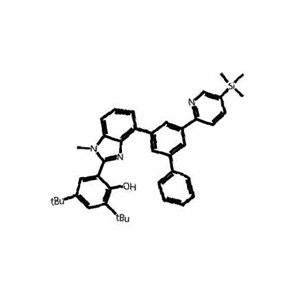 Cn1c(-c2cc(C(C)(C)C)cc(C(C)(C)C)c2O)nc2c(-c3cc(-c4ccccc4)cc(-c4ccc([Si](C)(C)C)cn4)c3)cccc21